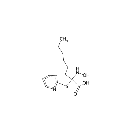 CCCCCCC(NO)(Sc1ccccn1)C(=O)O